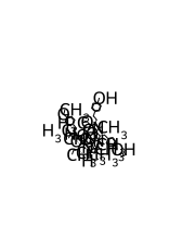 CC[C@@H](C)[C@H](OC(=O)[C@H](Cc1ccc(OC)cc1)N(C)C)C(=O)N[C@@H](C(=O)N(C)[C@H](Cc1ccc(O)cc1)C(=O)N(C)[C@H](CCc1ccc(O)cc1)C(=O)OC)C(C)C